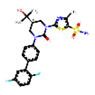 Cc1nc(N2C[C@H](C(C)(C)O)CN(c3ccc(-c4cc(F)ccc4F)cc3)C2=O)sc1S(N)(=O)=O